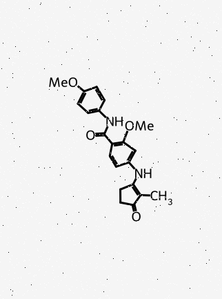 COc1ccc(NC(=O)c2ccc(NC3=C(C)C(=O)CC3)cc2OC)cc1